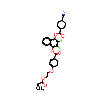 C=CC(=O)OCCOC1=CC=C(C(=O)Oc2c(F)c(F)c(OC(=O)C3CCC(C#N)CC3)c3ccccc23)CC1